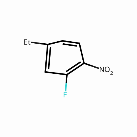 CCc1ccc([N+](=O)[O-])c(F)c1